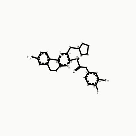 Nc1ccc2c(c1)CCc1nc(NC(=O)Cc3ccc(F)c(F)c3)c(CC3CCCC3)nc1-2